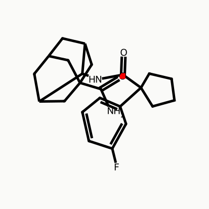 NC(=O)C12CC3CC(C1)C(NC(=O)C1(c4cccc(F)c4)CCCC1)C(C3)C2